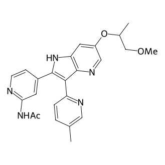 COCC(C)Oc1cnc2c(-c3ccc(C)cn3)c(-c3ccnc(NC(C)=O)c3)[nH]c2c1